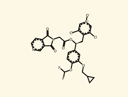 O=C(CN1C(=O)c2ccncc2C1=O)O[C@@H](Cc1c(Cl)c[n+]([O-])cc1Cl)c1ccc(OC(F)F)c(OCC2CC2)c1